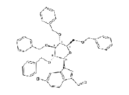 O=Cc1cn([C@@H]2O[C@H](COCc3ccccc3)[C@@H](OCc3ccccc3)[C@H](OCc3ccccc3)[C@H]2OCc2ccccc2)c2cc(Cl)ccc12